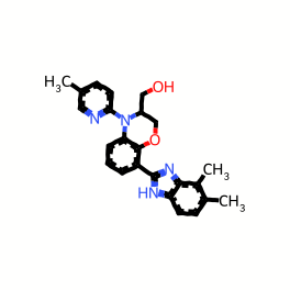 Cc1ccc(N2c3cccc(-c4nc5c(C)c(C)ccc5[nH]4)c3OCC2CO)nc1